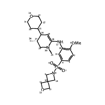 COc1ccc(S(=O)(=O)N2CC3(COC3)C2)cc1NC1=CC(C2CCOCC2)[C@@H](C)CN1C